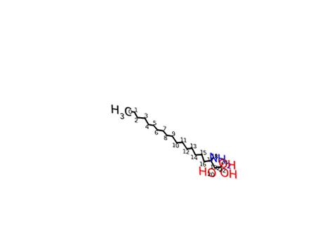 CCCCCCCCCCCCCCCCCC(N)C(O)C(O)O